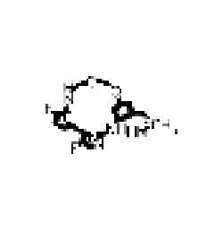 CS(=N)Cc1cc2cc(c1)OCCCCCNc1cc(ccc1F)-c1nc(ncc1F)N2